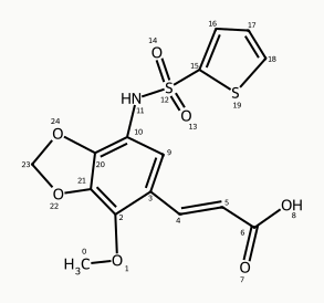 COc1c(/C=C/C(=O)O)cc(NS(=O)(=O)c2cccs2)c2c1OCO2